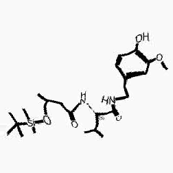 COc1cc(CNC(=O)[C@@H](NC(=O)CC(C)O[Si](C)(C)C(C)(C)C)C(C)C)ccc1O